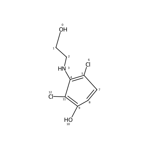 OCCNc1c(Cl)ccc(O)c1Cl